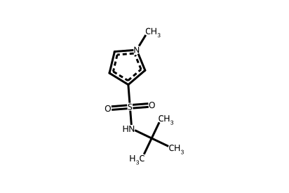 Cn1ccc(S(=O)(=O)NC(C)(C)C)c1